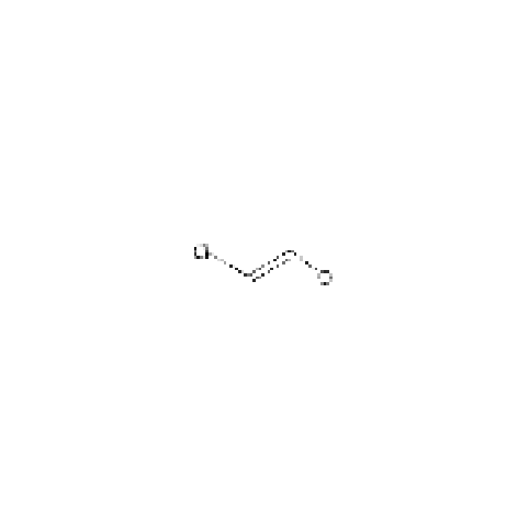 [O]C=CCl